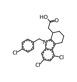 O=C(O)CC1CCCc2c1n(Cc1ccc(Cl)cc1)c1cc(Cl)cc(Cl)c21